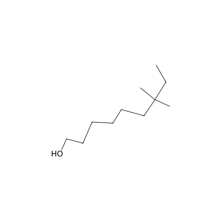 CCC(C)(C)CCCCCCO